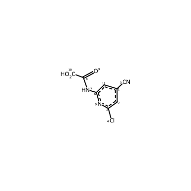 N#Cc1cc(Cl)nc(NC(=O)C(=O)O)c1